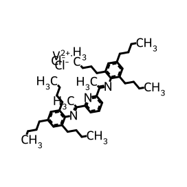 CCCCc1cc(CCCC)c(N=C(C)c2cccc(C(C)=Nc3c(CCCC)cc(CCCC)cc3CCCC)n2)c(CCCC)c1.[Cl-].[Cl-].[V+2]